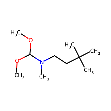 COC(OC)N(C)CCC(C)(C)C